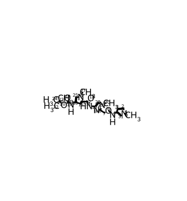 Cn1ccc(NOCc2nc(NC(=O)c3cc(NC(=O)OC(C)(C)C)cn3C)cn2C)c1